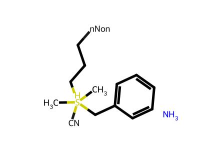 CCCCCCCCCCCC[SH](C)(C)(C#N)Cc1ccccc1.N